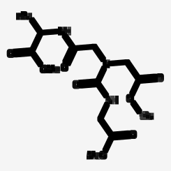 CCCCC(NC(=O)CN(CC(=O)OC(C)(C)C)C(=O)NCC(=O)OC)C(=O)OC